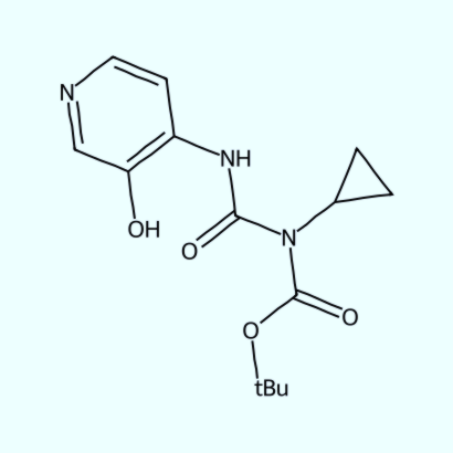 CC(C)(C)OC(=O)N(C(=O)Nc1ccncc1O)C1CC1